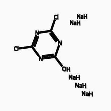 Oc1nc(Cl)nc(Cl)n1.[NaH].[NaH].[NaH].[NaH].[NaH]